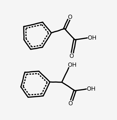 O=C(O)C(=O)c1ccccc1.O=C(O)C(O)c1ccccc1